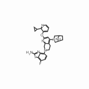 Nc1nc2c(N3CCc4c(N5CC6CCC(C5)N6)cc(Oc5cccnc5C5CC5)nc4C3)ccc(F)c2s1